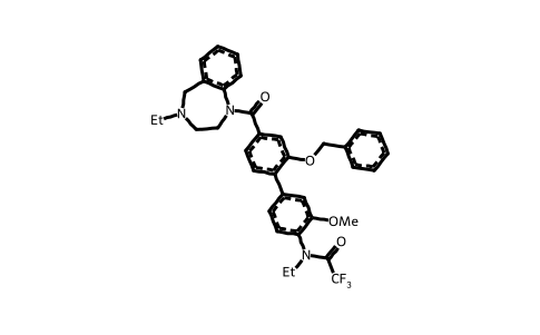 CCN1CCN(C(=O)c2ccc(-c3ccc(N(CC)C(=O)C(F)(F)F)c(OC)c3)c(OCc3ccccc3)c2)c2ccccc2C1